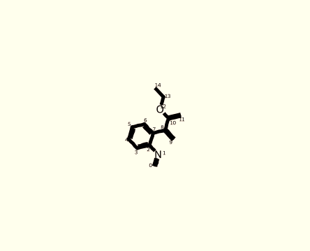 C=Nc1ccccc1C(=C)C(=C)OCC